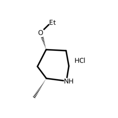 CCO[C@@H]1CCN[C@H](C)C1.Cl